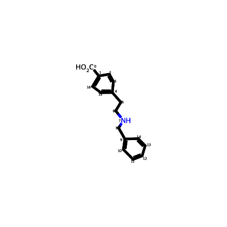 O=C(O)c1ccc(CCNCc2ccccc2)cc1